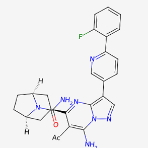 CC(=O)c1c([C@H]2C[C@H]3CC[C@@H](C2)N3C(N)=O)nc2c(-c3ccc(-c4ccccc4F)nc3)cnn2c1N